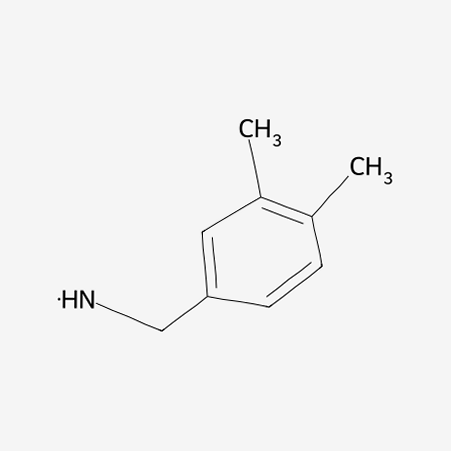 Cc1ccc(C[NH])cc1C